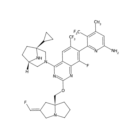 Cc1cc(N)nc(-c2c(C(F)(F)F)cc3c(N4C[C@@H]5CC[C@](C6CC6)(C4)N5)nc(OC[C@@]45CCCN4C/C(=C/F)C5)nc3c2F)c1C(F)(F)F